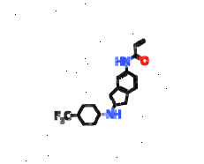 C=CC(=O)Nc1ccc2c(c1)CC(N[C@H]1CC[C@H](C(F)(F)F)CC1)C2